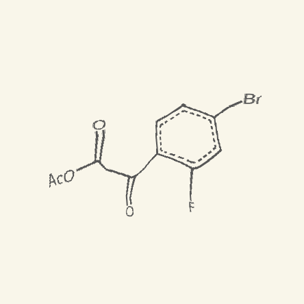 CC(=O)OC(=O)C(=O)c1ccc(Br)cc1F